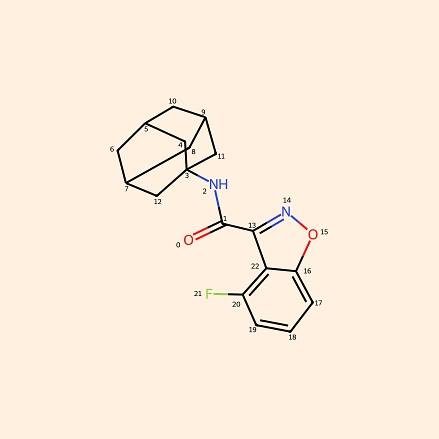 O=C(NC12CC3CC(CC(C3)C1)C2)c1noc2cccc(F)c12